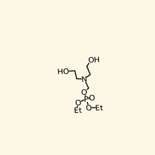 CCOP(=O)(OCC)OCN(CCO)CCO